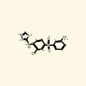 O=S(=O)(c1cccc(C(F)(F)F)c1)c1ccc(Nc2nncs2)c(Cl)c1